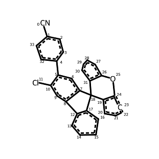 N#Cc1ccc(-c2cc3c(cc2Cl)-c2ccccc2C32c3ccccc3Oc3ccccc32)cc1